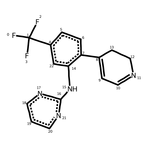 FC(F)(F)c1ccc(C2=CC=NCC2)c(Nc2ncccn2)c1